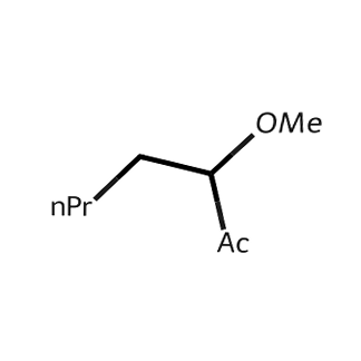 [CH2]CCCC(OC)C(C)=O